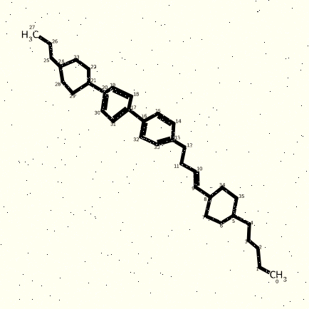 CCCCCC1CCC(C=CCCc2ccc(-c3ccc(C4CCC(CCC)CC4)cc3)cc2)CC1